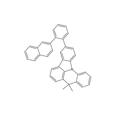 CC1(C)c2ccccc2-n2c3ccc(-c4ccccc4-c4ccc5ccccc5c4)cc3c3cccc1c32